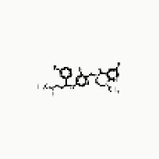 CNCCC(Oc1cnc(CN2CCN(C)c3ncc(F)cc3C2=O)c(F)c1)c1cccc(F)c1